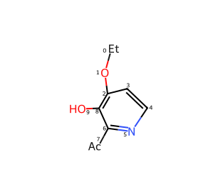 CCOc1ccnc(C(C)=O)c1O